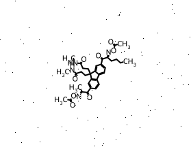 CCCC/C(=N\OC(C)=O)C(=O)c1ccc2c(c1)C(CCC(=O)NC)(CCC(=O)NC)c1cc(C(=O)/C(C)=N/OC(C)=O)ccc1-2